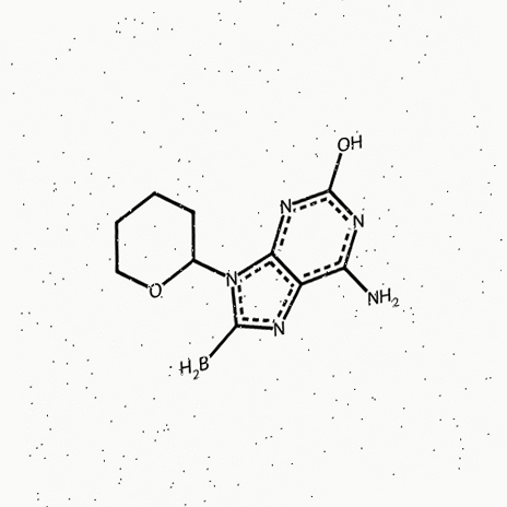 Bc1nc2c(N)nc(O)nc2n1C1CCCCO1